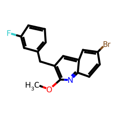 COc1nc2ccc(Br)cc2cc1Cc1cccc(F)c1